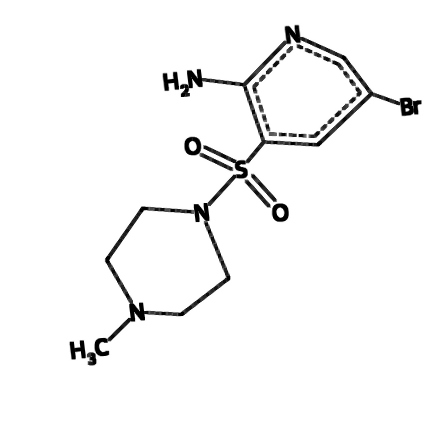 CN1CCN(S(=O)(=O)c2cc(Br)cnc2N)CC1